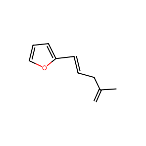 C=C(C)C/C=C/c1ccco1